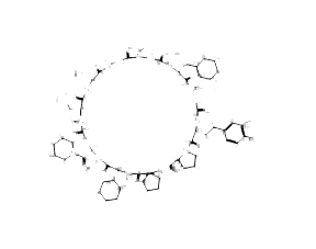 CC(C)C[C@H]1C(=O)N[C@@H](C(C)C)C(=O)N(C)CC(=O)N(C)CC(=O)N(C)[C@@H](CC2CCCCC2)C(=O)N(C)CC(=O)N[C@@H](CCc2ccc(C(F)(F)F)c(Cl)c2)C(=O)N2CCC[C@H]2C(=O)NC2(CCCC2)C(=O)N(C)[C@@H](C2CCCCC2)C(=O)N(C)[C@H](C(=O)N2CCCCC2)CC(=O)N1C